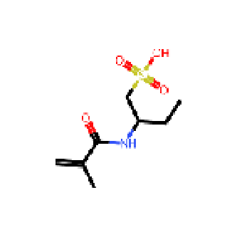 C=C(C)C(=O)NC(CC)CS(=O)(=O)O